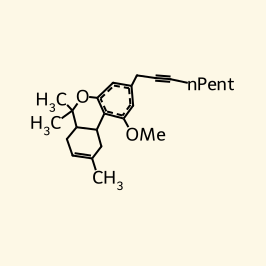 CCCCCC#CCc1cc(OC)c2c(c1)OC(C)(C)C1CC=C(C)CC21